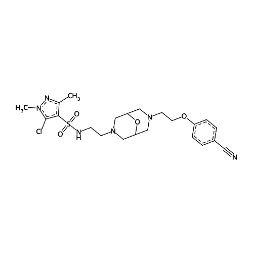 Cc1nn(C)c(Cl)c1S(=O)(=O)NCCN1CC2CN(CCOc3ccc(C#N)cc3)CC(C1)O2